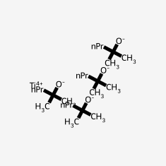 CCCC(C)(C)[O-].CCCC(C)(C)[O-].CCCC(C)(C)[O-].CCCC(C)(C)[O-].[Ti+4]